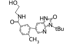 Cc1ccc(C(=O)NCCO)cc1-c1cnc2c(c1)[nH]c(=O)n2C(C)(C)C